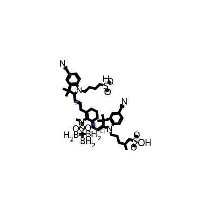 BC(B)(B)S(=O)(=O)N(C)C1=C(C/C=C/C2N(CCCC[SH](=O)=O)c3ccc(C#N)cc3C2(C)C)CCC/C1=C\C=C1\N(CCCC(C)CS(=O)(=O)O)c2ccc(C#N)cc2C1(C)C